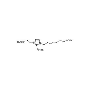 CCCCCCCCCCCCCCCCCn1cc[n+](CCCCCCCCCCCC)c1CCCCCC